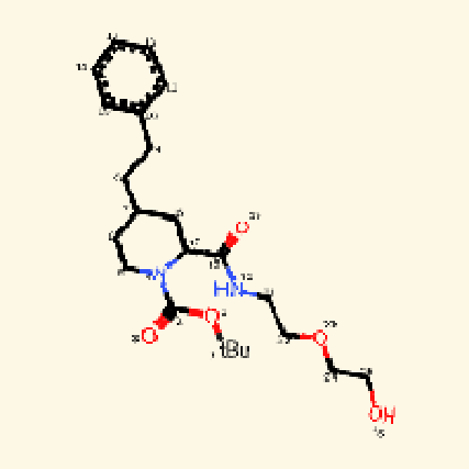 CC(C)(C)OC(=O)N1CCC(CCc2ccccc2)CC1C(=O)NCCOCCO